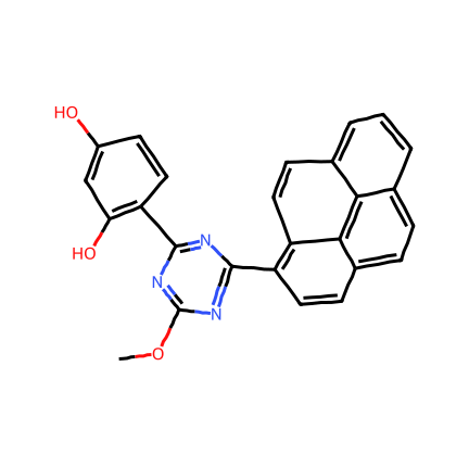 COc1nc(-c2ccc(O)cc2O)nc(-c2ccc3ccc4cccc5ccc2c3c45)n1